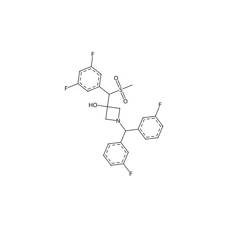 CS(=O)(=O)C(c1cc(F)cc(F)c1)C1(O)CN(C(c2cccc(F)c2)c2cccc(F)c2)C1